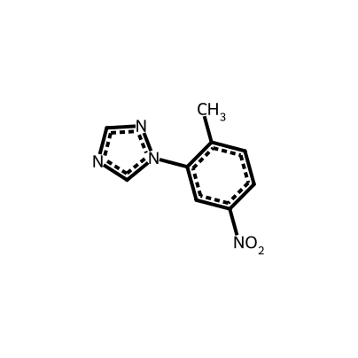 Cc1ccc([N+](=O)[O-])cc1-n1cncn1